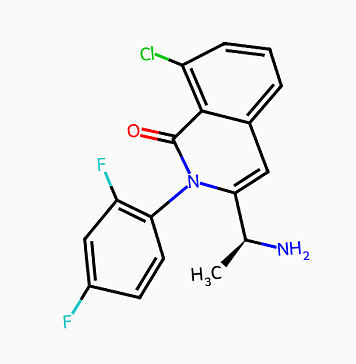 C[C@H](N)c1cc2cccc(Cl)c2c(=O)n1-c1ccc(F)cc1F